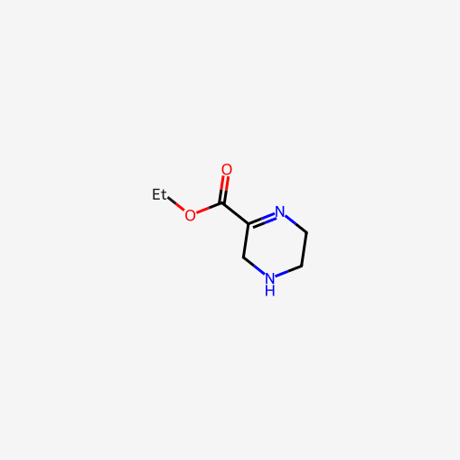 CCOC(=O)C1=NCCNC1